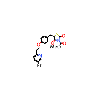 CCc1ccc(CCOc2ccc(CC3SC(=O)N(C(=O)OC)C3=O)cc2)nc1